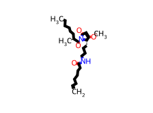 C=CCCCCCC(=O)NCCCC[C@H]1C(OC)=CC(=O)N1C(=O)[C@H](C)CCCCCC